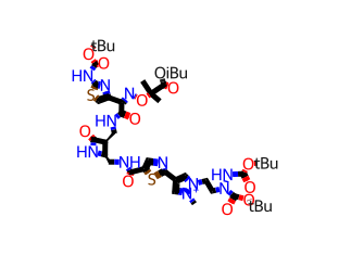 CC(C)COC(=O)C(C)(C)O/N=C(\C(=O)NC[C@@H]1C(=O)N[C@@H]1CNC(=O)c1cnc(-c2cn(CCN(NC(=O)OC(C)(C)C)C(=O)OC(C)(C)C)[n+](C)c2)s1)c1csc(NC(=O)OC(C)(C)C)n1